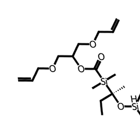 C=CCOCC(COCC=C)OC(=O)[Si](C)(C)[C@](C)(CC)O[SiH](C)C